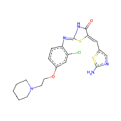 Nc1ncc(C=C2SC(=Nc3ccc(OCCN4CCCCC4)cc3Cl)NC2=O)s1